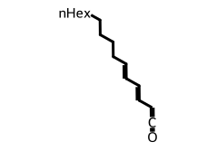 CCCCCCCCCCC=CC=CC=C=O